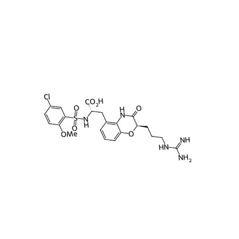 COc1ccc(Cl)cc1S(=O)(=O)N[C@@H](Cc1cccc2c1NC(=O)[C@@H](CCCNC(=N)N)O2)C(=O)O